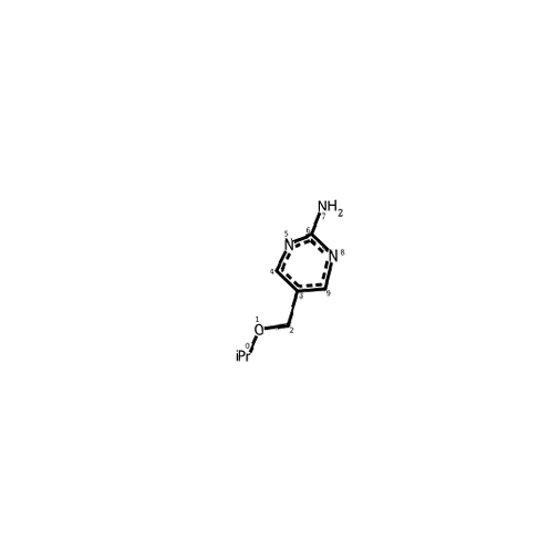 CC(C)OCc1cnc(N)nc1